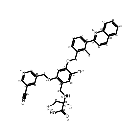 Cc1c(COc2cc(OCc3cncc(C#N)c3)c(CN[C@](C)(CO)C(=O)O)cc2Cl)cccc1-c1ccc2ccccc2n1